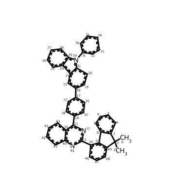 CC1(C)c2ccccc2-c2c(-c3nc(-c4ccc(-c5ccc6c(c5)c5ccccc5n6-c5ccccc5)cc4)c4ccccc4n3)cccc21